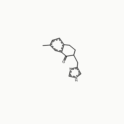 Cc1ccc2c(c1)C(=O)C(Cc1c[nH]cn1)CC2